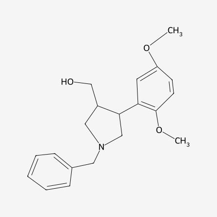 COc1ccc(OC)c(C2CN(Cc3ccccc3)CC2CO)c1